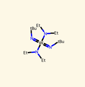 CC[N](CC)[W](=[N]C(C)(C)C)(=[N]C(C)(C)C)[N](CC)CC